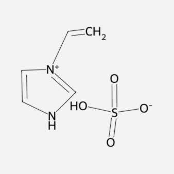 C=C[n+]1cc[nH]c1.O=S(=O)([O-])O